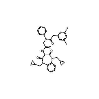 O=C(CN(C(=O)Cc1cc(F)cc(F)c1)c1ccccc1)NC1C(=O)N(CC2CC2)c2ccccc2N(CC2CC2)C1=O